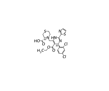 CCOC(=O)C1=C(CN2CCSC[C@H]2C(=O)O)NC(c2nccs2)=N[C@H]1c1ccc(Cl)cc1Cl